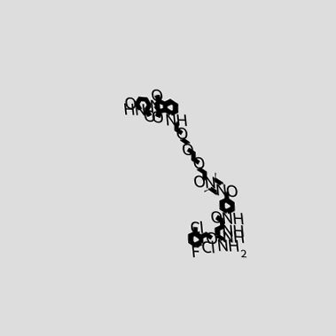 C[C@@H]1CN(C(=O)c2ccc(NC(=O)C(=N)/C=C(/OCc3c(Cl)ccc(F)c3Cl)C(=N)N)cc2)C[C@H](C)N1C(=O)CCOCCOCCOCCNc1cccc2c1C(=O)N(C1CCC(=O)NC1=O)C2=O